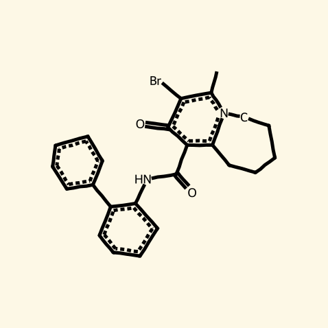 Cc1c(Br)c(=O)c(C(=O)Nc2ccccc2-c2ccccc2)c2n1CCCCC2